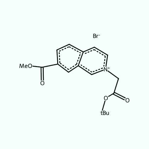 COC(=O)c1ccc2cc[n+](CC(=O)OC(C)(C)C)cc2c1.[Br-]